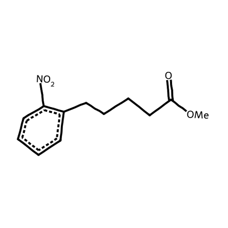 COC(=O)CCCCc1ccccc1[N+](=O)[O-]